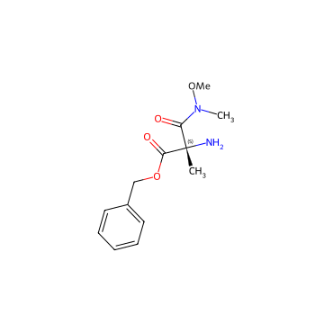 CON(C)C(=O)[C@](C)(N)C(=O)OCc1ccccc1